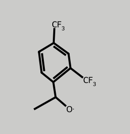 CC([O])c1ccc(C(F)(F)F)cc1C(F)(F)F